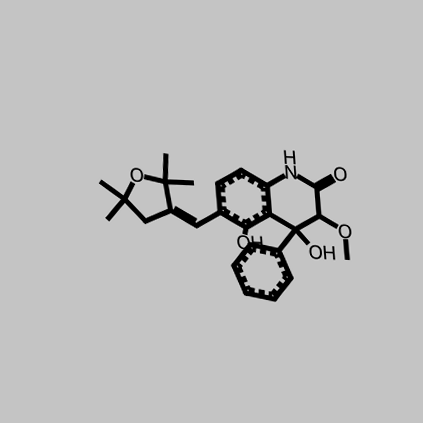 COC1C(=O)Nc2ccc(C=C3CC(C)(C)OC3(C)C)c(O)c2C1(O)c1ccccc1